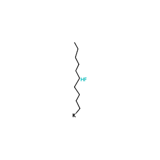 CCCCCCCCC[CH2][K].F